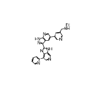 CCNCc1cncc(-c2cnc3[nH]nc(-c4nc5c(-c6ccccn6)cncc5[nH]4)c3c2)c1